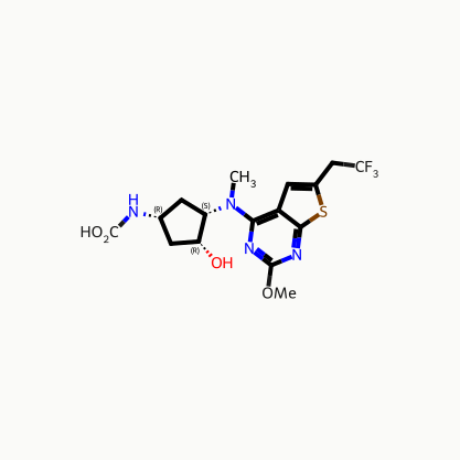 COc1nc(N(C)[C@H]2C[C@@H](NC(=O)O)C[C@H]2O)c2cc(CC(F)(F)F)sc2n1